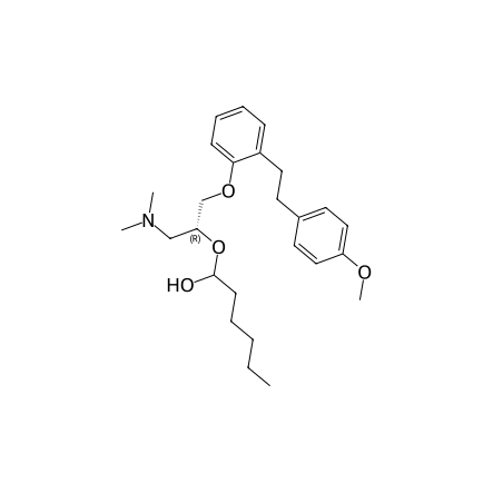 CCCCCC(O)O[C@@H](COc1ccccc1CCc1ccc(OC)cc1)CN(C)C